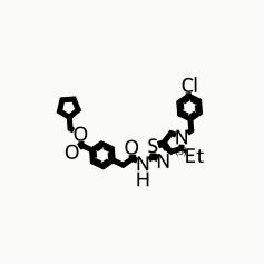 CC[C@H]1c2nc(NC(=O)Cc3ccc(C(=O)OCC4CCCC4)cc3)sc2CN1Cc1ccc(Cl)cc1